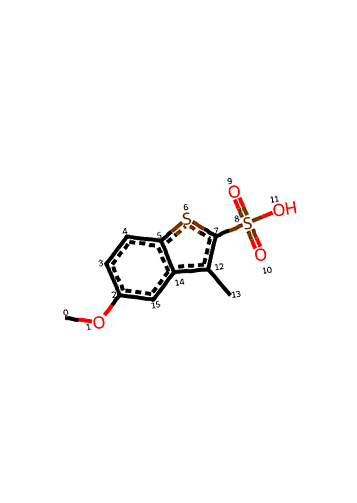 COc1ccc2sc(S(=O)(=O)O)c(C)c2c1